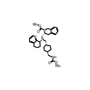 CC(C)(C)OC(=O)NC[C@H]1CC[C@H](CN(C[C@H]2Cc3ccccc3CN2C(=O)OC(C)(C)C)[C@H]2CCCc3cccnc32)CC1